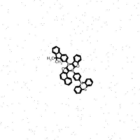 CC1(C)c2ccccc2-c2ccc(B3c4oc5ccc6ccccc6c5c4B(c4ccc(N5c6ccccc6Sc6ccccc65)cc4)c4oc5ccccc5c43)cc21